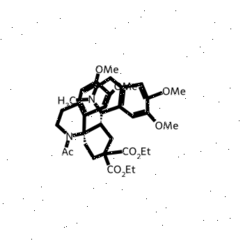 CCOC(=O)C1(C(=O)OCC)CC[C@]2(c3cc(OC)c(OC)cc3CCN2C(C)=O)[C@H](C2c3cc(OC)c(OC)cc3CCN2C)C1